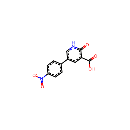 O=C(O)c1cc(-c2ccc([N+](=O)[O-])cc2)c[nH]c1=O